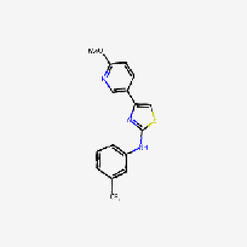 COc1ccc(-c2csc(Nc3cccc(C(F)(F)F)c3)n2)cn1